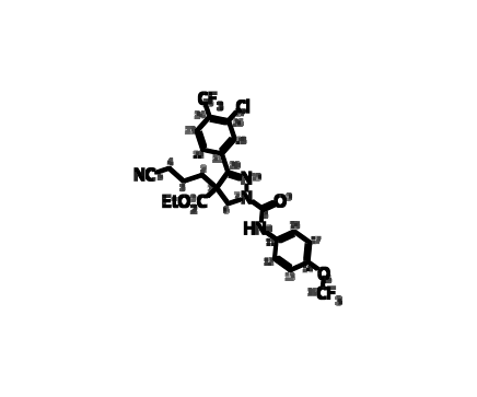 CCOC(=O)C1(CCCC#N)CN(C(=O)Nc2ccc(OC(F)(F)F)cc2)N=C1c1ccc(C(F)(F)F)c(Cl)c1